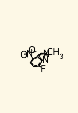 Cn1cc2c([N+](=O)[O-])ccc(F)c2n1